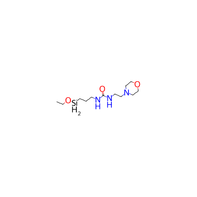 CCO[SiH2]CCCNC(=O)NCCN1CCOCC1